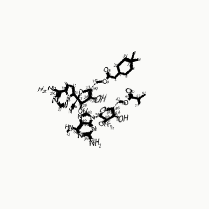 CC1(C)CCC(CC(=O)OC[C@H]2O[C@@](C#N)(c3ccc4c(N)ncnn34)[C@H](O)[C@@H]2O)CC1.CNc1nc(N)nc2c1ncn2[C@@H]1O[C@H](COC(=O)C(C)C)[C@@H](O)[C@@]1(C)O